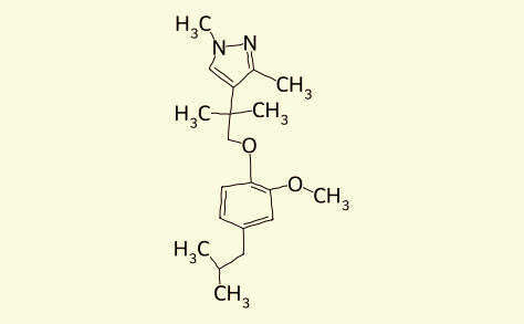 COc1cc(CC(C)C)ccc1OCC(C)(C)c1cn(C)nc1C